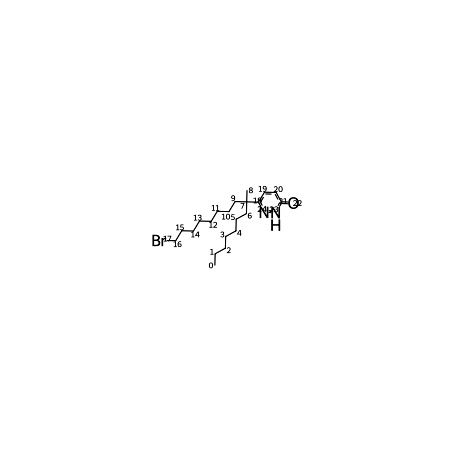 CCCCCCCC(C)(CCCCCCCCBr)c1ccc(=O)[nH]n1